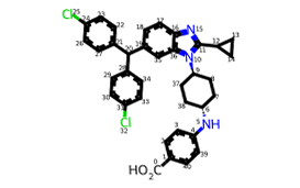 O=C(O)c1ccc(N[C@H]2CC[C@H](n3c(C4CC4)nc4ccc(C(c5ccc(Cl)cc5)c5ccc(Cl)cc5)cc43)CC2)cc1